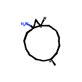 C[C@H]1CCCCCCC2(N)C[C@@H]2CCCCC1